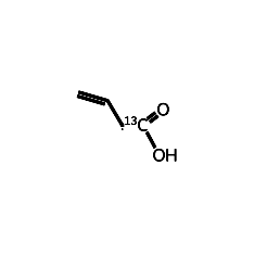 C=C[CH][13C](=O)O